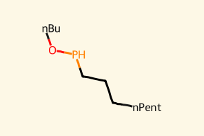 CCCCCCCCPOCCCC